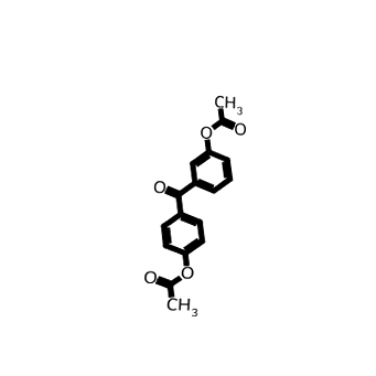 CC(=O)Oc1ccc(C(=O)c2cccc(OC(C)=O)c2)cc1